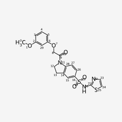 COc1cccc(OCC(=O)N2CCc3cc(S(=O)(=O)Nc4nccs4)ccc32)c1